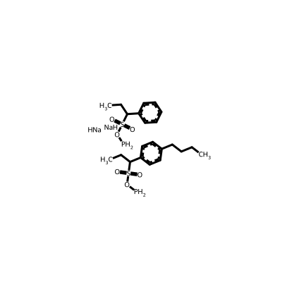 CCC(c1ccccc1)S(=O)(=O)OP.CCCCc1ccc(C(CC)S(=O)(=O)OP)cc1.[NaH].[NaH]